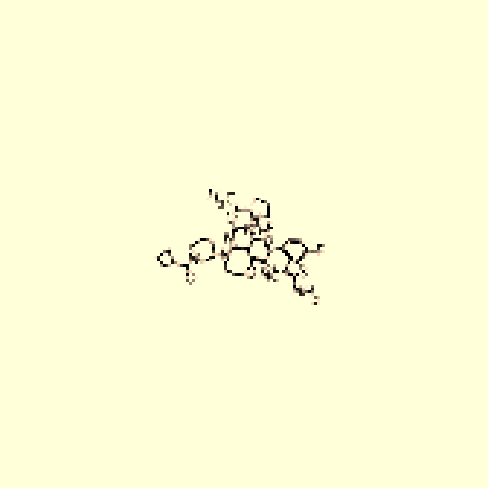 C[C@H](Oc1nc2c3c(c(Cl)c(-c4ccc(F)c5sc(N)c(C#N)c45)c(F)c3n1)OCCN2C1CCCN(C(=O)C2CCC2)C1)[C@@H]1CCCN1C